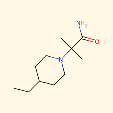 CCC1CCN(C(C)(C)C(N)=O)CC1